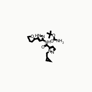 CC(C)(C)OC(N)=O.O=C(Nc1cc(C2CCCO2)[nH]n1)c1ccnn1CC1CC1